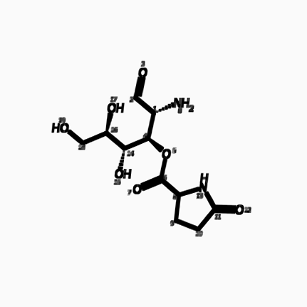 N[C@@H](C=O)[C@@H](OC(=O)C1CCC(=O)N1)[C@H](O)[C@H](O)CO